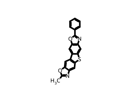 Cc1nc2cc3sc4cc5nc(-c6ccccc6)oc5cc4c3cc2o1